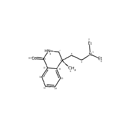 CCN(CC)CCC1(C)CNC(=O)c2ccccc21